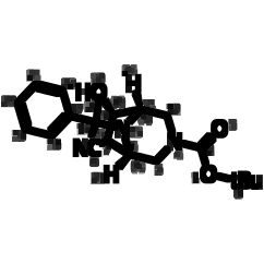 CC(C)(C)OC(=O)N1C[C@@H]2C(C#N)[C@@H](O)[C@H](C1)N2C(C)(C)c1ccccc1